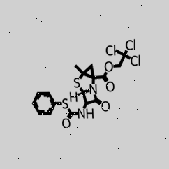 CC12CC1(C(=O)OCC(Cl)(Cl)Cl)N1C(=O)C(NC(=O)Sc3ccccc3)[C@@H]1S2